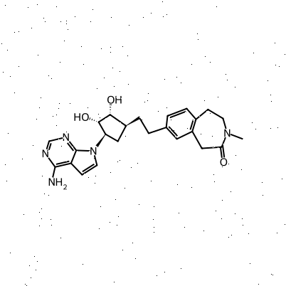 CN1CCc2ccc(CC[C@H]3C[C@@H](n4ccc5c(N)ncnc54)[C@H](O)[C@@H]3O)cc2CC1=O